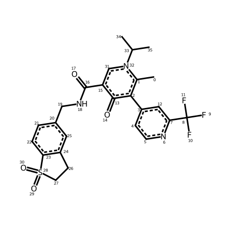 Cc1c(-c2ccnc(C(F)(F)F)c2)c(=O)c(C(=O)NCc2ccc3c(c2)CCS3(=O)=O)cn1C(C)C